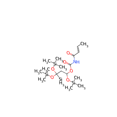 CC=CC(=O)NC(=O)OC(CC([SiH3])(O[Si](C)(C)C)O[Si](C)(C)C)O[Si](C)(C)C